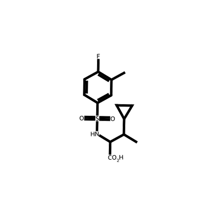 Cc1cc(S(=O)(=O)NC(C(=O)O)C(C)C2CC2)ccc1F